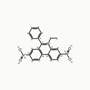 CC[n+]1c(-c2ccccc2)c2cc([N+](=O)[O-])ccc2c2ccc([N+](=O)[O-])cc21